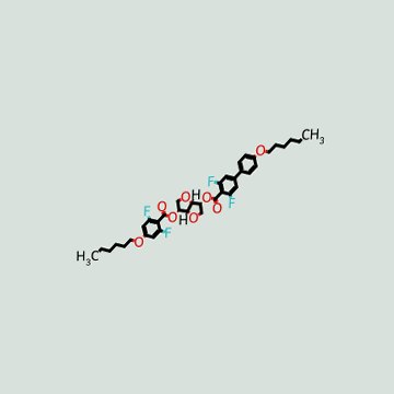 CCCCCCOc1ccc(-c2cc(F)c(C(=O)O[C@@H]3CO[C@@H]4[C@H]3OC[C@@H]4OC(=O)c3c(F)cc(OCCCCCC)cc3F)c(F)c2)cc1